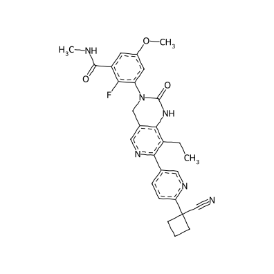 CCc1c(-c2ccc(C3(C#N)CCC3)nc2)ncc2c1NC(=O)N(c1cc(OC)cc(C(=O)NC)c1F)C2